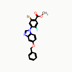 COC(=O)c1cc(F)c(-n2cnc3cc(OCc4ccccc4)ccc32)cc1Br